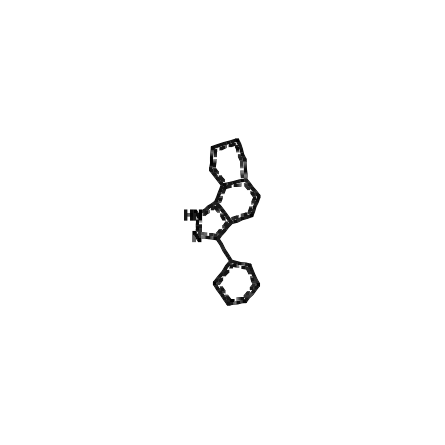 c1ccc(-c2n[nH]c3c2ccc2ccccc23)cc1